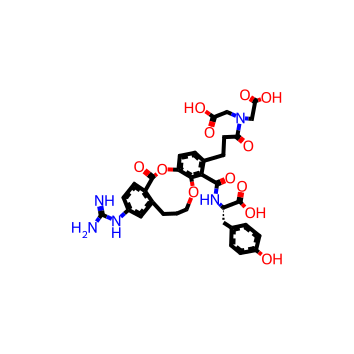 N=C(N)Nc1ccc2c(c1)CCCOc1c(ccc(CCC(=O)N(CC(=O)O)CC(=O)O)c1C(=O)N[C@@H](Cc1ccc(O)cc1)C(=O)O)OC2=O